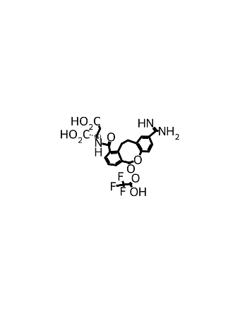 N=C(N)c1ccc2c(c1)CCc1c(C(=O)N[C@@H](CC(=O)O)C(=O)O)cccc1C(=O)O2.O=C(O)C(F)(F)F